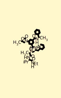 CCNC(=O)[C@@H](NC(=O)[C@H](C)NC[C@H](Cc1ccccn1)NC(=O)c1cc(C(=O)N[C@H](C)c2ccccc2)cc(N2CC(C)OC2=O)c1)C(C)C